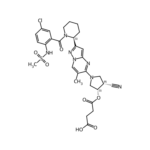 Cc1cn2nc([C@@H]3CCCCN3C(=O)c3cc(Cl)ccc3NS(C)(=O)=O)cc2nc1N1C[C@H](C#N)[C@H](OC(=O)CCC(=O)O)C1